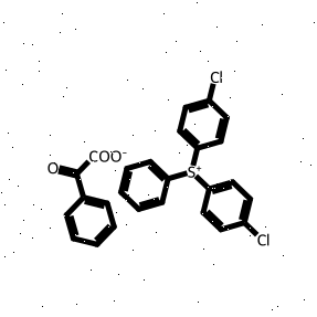 Clc1ccc([S+](c2ccccc2)c2ccc(Cl)cc2)cc1.O=C([O-])C(=O)c1ccccc1